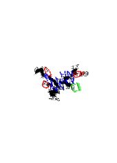 CCCn1c(=O)c2[nH]c(-c3cc(Cl)nc(NC(C)OC)c3)nc2n(CCC)c1=O